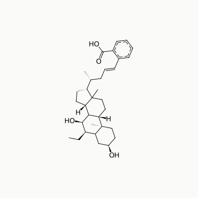 CC[C@@H]1C2C[C@H](O)CC[C@]2(C)[C@H]2CCC3(C)[C@@H]([C@H](C)C/C=C/c4ccccc4C(=O)O)CC[C@H]3C2[C@@H]1O